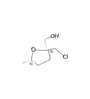 C[C@H]1CC[C@](CO)(CCl)O1